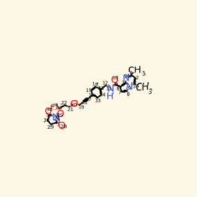 Cc1cc(C)n2ccc(C(=O)NCc3ccc(C#CCOCCC(=O)ON4C(=O)CCC4=O)cc3)c2n1